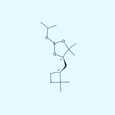 CC(C)OB1O[C@H](C[C@@H]2CCC2(C)C)C(C)(C)O1